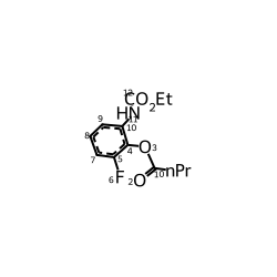 CCCC(=O)Oc1c(F)cccc1NC(=O)OCC